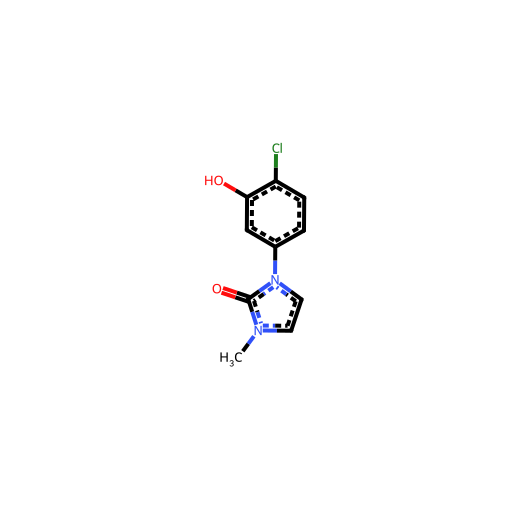 Cn1ccn(-c2ccc(Cl)c(O)c2)c1=O